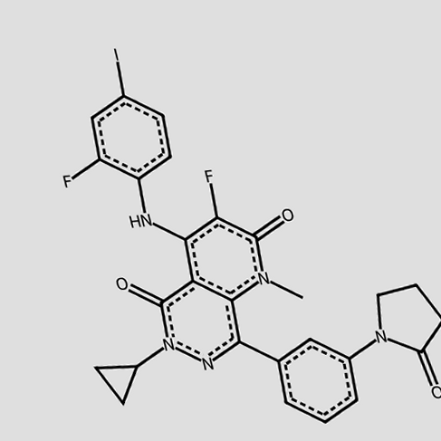 Cn1c(=O)c(F)c(Nc2ccc(I)cc2F)c2c(=O)n(C3CC3)nc(-c3cccc(N4CCCC4=O)c3)c21